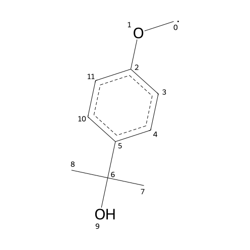 [CH2]Oc1ccc(C(C)(C)O)cc1